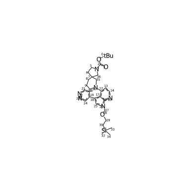 CC(C)(C)OC(=O)N1CCC2(CCCN(c3ccnc4c3c(-c3ccnnc3)cn4COCC[Si](C)(C)C)C2)C1